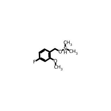 COc1cc(F)ccc1CO[SiH](C)C